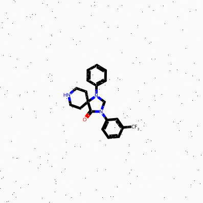 O=C1N(c2cccc(C(F)(F)F)c2)CN(c2ccccc2)C12CCNCC2